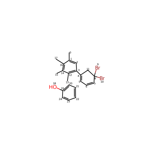 Cc1cc(C2=CC=CC(Br)(Br)C2)c(C)c(C)c1C.Oc1ccccc1